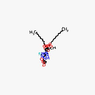 C#C[C@]12O[C@@H](n3cnc4c(NC(=O)[C@H]5CCC(=O)O5)nc(F)nc43)C[C@@]1(OC(=O)OCCCCCCCCCCCC)C2OC(=O)OCCCCCCCCCCCC